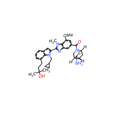 COc1cc(C(=O)N2C[C@H]3CC[C@@H]2C[C@@H]3N)cc2nc(-c3cc4cccc(CCC(C)(C)O)c4n3CC3CC3)n(C)c12